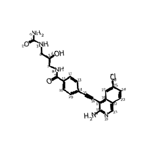 NC(=O)NCC(O)CNC(=O)c1ccc(C#Cc2c(N)ncc3ccc(Cl)cc23)cc1